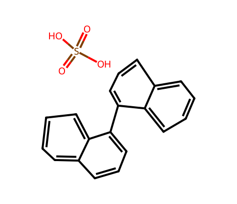 O=S(=O)(O)O.c1ccc2c(-c3cccc4ccccc34)cccc2c1